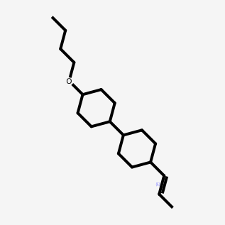 C/C=C/C1CCC(C2CCC(OCCCC)CC2)CC1